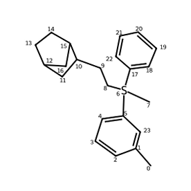 Cc1cccc(S(C)(CCC2CC3CCC2C3)c2ccccc2)c1